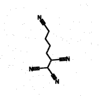 N#CCCCCC(C#N)C(C#N)C#N